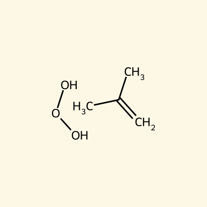 C=C(C)C.OOO